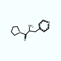 NC(Cc1ccncc1)C(=O)N1CCCC1